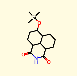 C[Si](C)(C)OC1CCC2C(=O)NC(=O)C3CCCC1C32